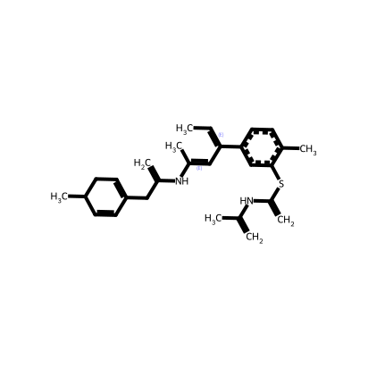 C=C(C)NC(=C)Sc1cc(C(/C=C(\C)NC(=C)CC2=CCC(C)C=C2)=C/C)ccc1C